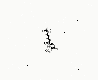 C[C@@H](O)[C@H](NC(=O)[C@@H](N)CCCCNC(=N)N)C(=O)O